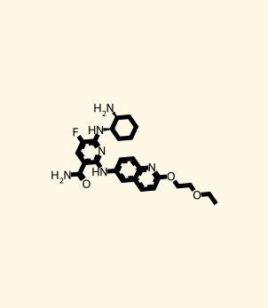 CCOCCOc1ccc2cc(Nc3nc(N[C@@H]4CCCC[C@@H]4N)c(F)cc3C(N)=O)ccc2n1